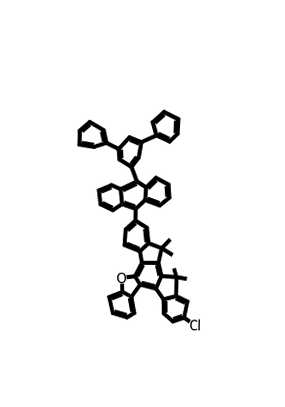 CC1(C)c2cc(-c3c4ccccc4c(-c4cc(-c5ccccc5)cc(-c5ccccc5)c4)c4ccccc34)ccc2-c2c1c1c(c3c2oc2ccccc23)-c2ccc(Cl)cc2C1(C)C